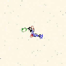 Cn1cc(N2CCN(C(=O)N3CCOc4cc(Cl)ccc43)CC2)cn1